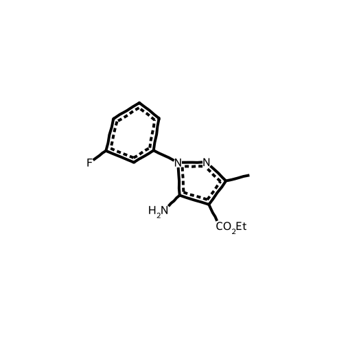 CCOC(=O)c1c(C)nn(-c2cccc(F)c2)c1N